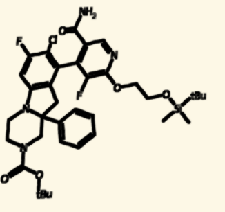 CC(C)(C)OC(=O)N1CCN2c3cc(F)c(Cl)c(-c4c(C(N)=O)cnc(OCCO[Si](C)(C)C(C)(C)C)c4F)c3CC2(c2ccccc2)C1